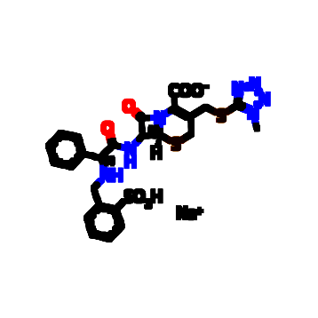 Cn1nnnc1SCC1=C(C(=O)[O-])N2C(=O)C(NC(=O)[C@@H](NCc3ccccc3S(=O)(=O)O)c3ccccc3)[C@@H]2SC1.[Na+]